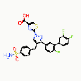 NS(=O)(=O)c1ccc(Cc2cn(-c3nc(C(=O)O)cs3)nc2-c2ccc(F)c(-c3ccc(F)c(F)c3)c2)cc1